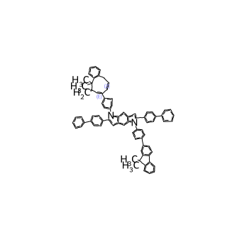 C=C1/C=C(c2ccc(-n3c(-c4ccc(-c5ccccc5)cc4)cc4cc5c(cc(-c6ccc(-c7ccccc7)cc6)n5-c5ccc(-c6ccc7c(c6)C(C)(C)c6ccccc6-7)cc5)cc43)cc2)\C=C/Cc2ccccc2C1(C)C